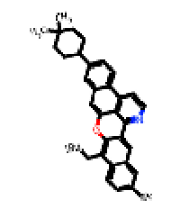 CC(C)c1ccc2c(CC(C)(C)C)c3c(cc2c1)-c1nccc2c1c(cc1cc(C4CCC(C)(C)CC4)ccc12)O3